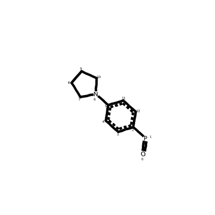 O=Pc1ccc(N2CCCC2)cc1